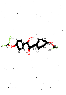 O=C(C(=O)c1ccc(OC(F)F)cc1)c1ccc(OC(F)F)cc1